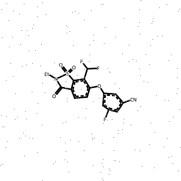 CCN1C(=O)c2ccc(Oc3cc(F)cc(C#N)c3)c(C(F)F)c2S1(=O)=O